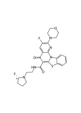 O=C(NCCN1CCC[C@@H]1F)c1c(=O)c2cc(F)c(N3CCOCC3)nc2n2c1sc1ccccc12